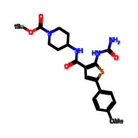 COc1ccc(-c2cc(C(=O)NC3CCN(C(=O)OC(C)(C)C)CC3)c(NC(N)=O)s2)cc1